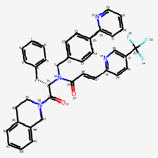 O=C([C@H](Cc1ccccc1)N(Cc1ccc(-c2ccccn2)cc1)C(=O)C=Cc1ccc(C(F)(F)F)cn1)N1CCc2ccccc2C1